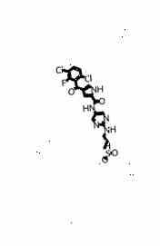 O=C(Nc1cnc(NCCC[SH](=O)=O)nc1)c1cc(C(=O)c2c(Cl)ccc(Cl)c2F)c[nH]1